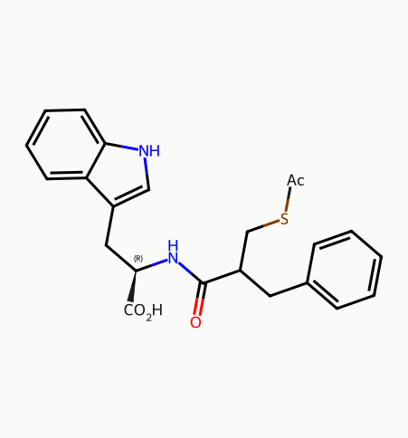 CC(=O)SCC(Cc1ccccc1)C(=O)N[C@H](Cc1c[nH]c2ccccc12)C(=O)O